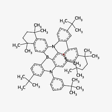 Cc1cc2c3c(c1)N(c1ccc(C(C)(C)C)cc1-c1ccc4c(c1)C(C)(C)CCC4(C)C)c1cc4c(cc1B3c1ccc(C(C)(C)C)cc1N2c1cccc(C(C)(C)C)c1)C(C)(C)CCC4(C)C